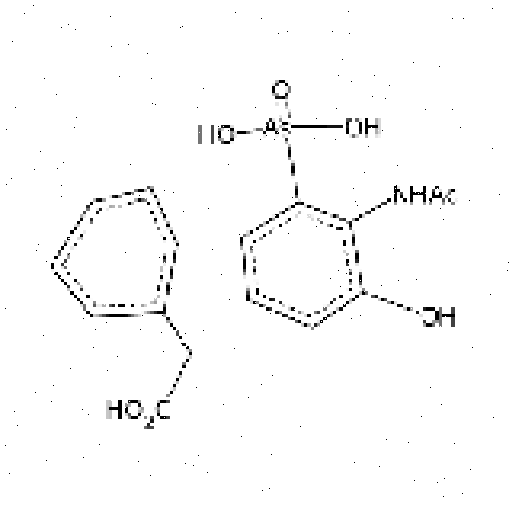 CC(=O)Nc1c(O)cccc1[As](=O)(O)O.O=C(O)Cc1ccccc1